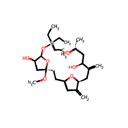 C=C(C[C@@H]1OC(CC[C@]2(OC)CC(O)C(O[Si](CC)(CC)CC)O2)CC1=C)C(O)C[C@@H](C)O